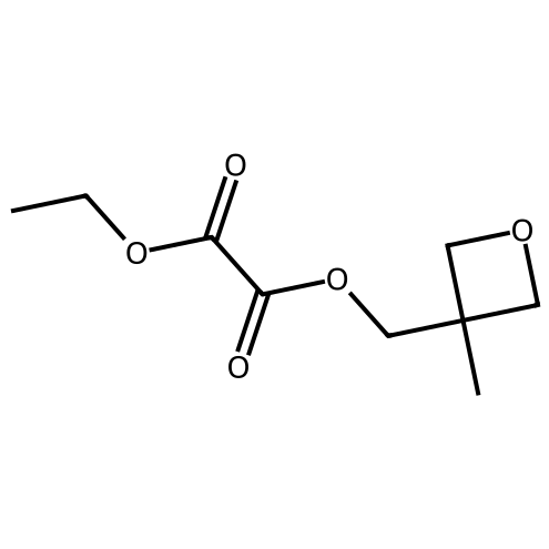 CCOC(=O)C(=O)OCC1(C)COC1